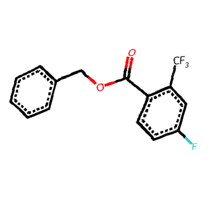 O=C(OCc1ccccc1)c1ccc(F)cc1C(F)(F)F